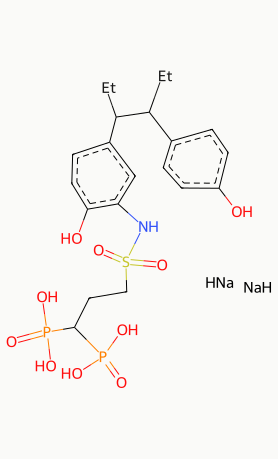 CCC(c1ccc(O)cc1)C(CC)c1ccc(O)c(NS(=O)(=O)CCC(P(=O)(O)O)P(=O)(O)O)c1.[NaH].[NaH]